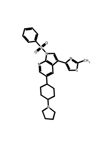 Cc1nc(-c2cn(S(=O)(=O)c3ccccc3)c3ncc(C4CCC(N5CCCC5)CC4)cc23)cs1